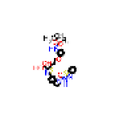 CC(C)(C)OC(=O)Nc1cccc(OCCCc2sc(-c3ccc4c(c3)N(C(=O)Nc3nc5ccccc5s3)CCC4)nc2C(O)O)c1